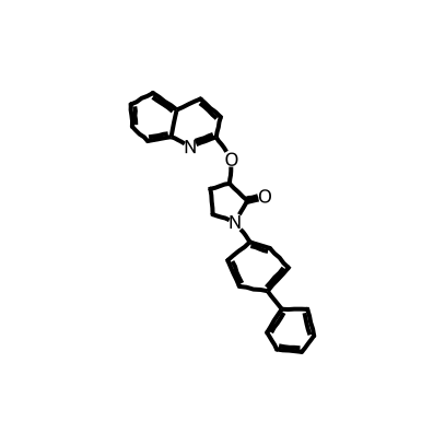 O=C1C(Oc2ccc3ccccc3n2)CCN1c1ccc(-c2ccccc2)cc1